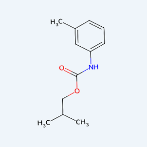 Cc1cccc(NC(=O)OCC(C)C)c1